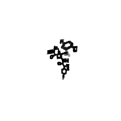 CNC(=O)c1cc(NC(=O)c2nsc3cc(F)ccc23)c([C@@H](C)c2cc(F)ccc2Cl)n1CC(C)=O